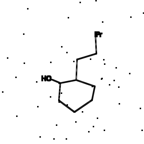 CC(C)CCC1CCCCC1O